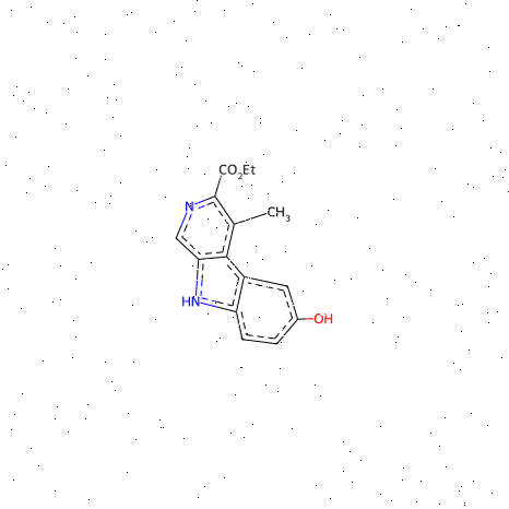 CCOC(=O)c1ncc2[nH]c3ccc(O)cc3c2c1C